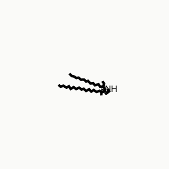 CCCCCCCCCCCCCCCCCC(C)[n+]1cc[nH]c1C(CC)CCCCCCCCCCCCCC